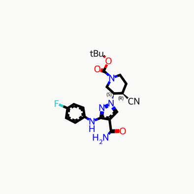 CC(C)(C)OC(=O)N1CC[C@@H](C#N)[C@H](n2cc(C(N)=O)c(Nc3ccc(F)cc3)n2)C1